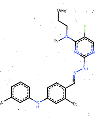 CCc1cc(Nc2cccc(C(F)(F)F)c2)ccc1/C=N/Nc1ncc(F)c(N(CCOC)C(C)C)n1